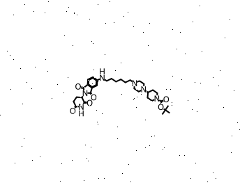 CC(C)(C)OC(=O)N1CCC(N2CCN(CCCCCCNc3ccc4c(c3)C(=O)N(C3CCC(=O)NC3=O)C4=O)CC2)CC1